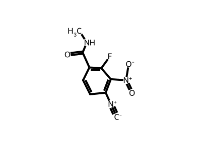 [C-]#[N+]c1ccc(C(=O)NC)c(F)c1[N+](=O)[O-]